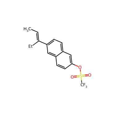 C/C=C(\CC)c1ccc2cc(OS(=O)(=O)C(F)(F)F)ccc2c1